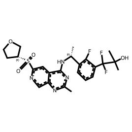 Cc1nc(N[C@H](C)c2cccc(C(F)(F)C(C)(C)O)c2F)c2cc(S(=O)(=O)[C@@H]3CCOC3)ncc2n1